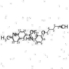 C#CCCCCOc1cccc(NC(=O)c2ccc3nc(C)ccc3c2)c1F